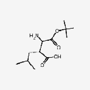 CC(C)C[C@@H](C(=O)O)C(N)C(=O)OC(C)(C)C